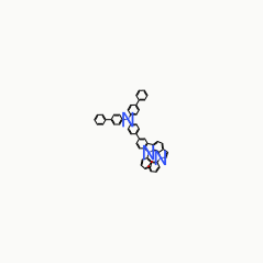 c1ccc(-c2ccc(N(c3ccc(-c4ccccc4)cc3)c3ccc(-c4ccc5c(c4)c4ccc6ccn(-c7ccccc7)c6c4n5-c4ccccc4)cc3)cc2)cc1